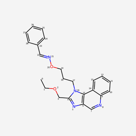 CCOCc1nc2cnc3ccccc3c2n1CCCON=Cc1ccccc1